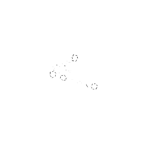 COc1c(OCCCNCC=Cc2ccccc2)cccc1C1OC(CC(=O)NCc2ccccc2F)C(=O)N(CC(C)(C)C)c2ccc(Cl)cc21